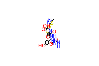 CNC(=O)N(C)C(=O)NC(C(=O)NC1C(=O)N2CC(CSc3nnc(C)s3)(C(=O)O)CS[C@H]12)c1ccc(O)cc1